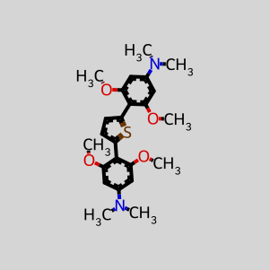 COc1cc(N(C)C)cc(OC)c1-c1ccc(-c2c(OC)cc(N(C)C)cc2OC)s1